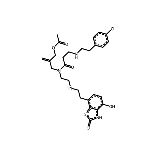 C=C(COC(C)=O)CN(CCNCCc1ccc(O)c2[nH]c(=O)sc12)C(=O)CCNCCc1ccc(Cl)cc1